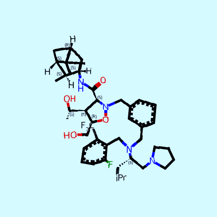 CC(C)C[C@@H](CN1CCCC1)N(Cc1cccc(CN2O[C@@H](CO)[C@@H]([C@H](C)O)[C@H]2C(=O)N[C@H]2C[C@H]3C[C@@H]([C@@H]2C)C3(C)C)c1)Cc1c(F)cccc1C(F)(F)F